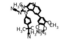 COc1cc(-c2ccc3ncc4c(c3c2)n(-c2ccc(C(C)(C)C#N)cc2)c(=NC#N)n4C)cc(OC)c1OC